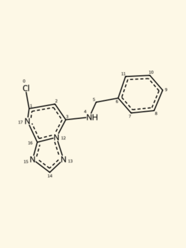 Clc1cc(NCc2ccccc2)n2ncnc2n1